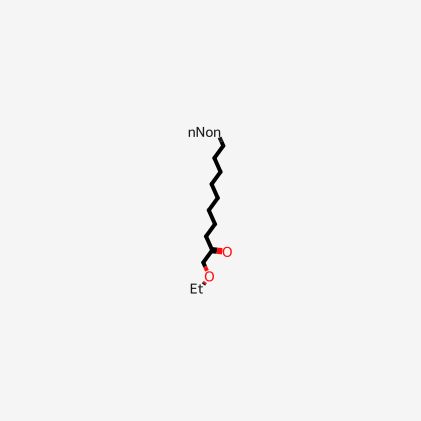 CCCCCCCCCCCCCCCCCC(=O)COCC